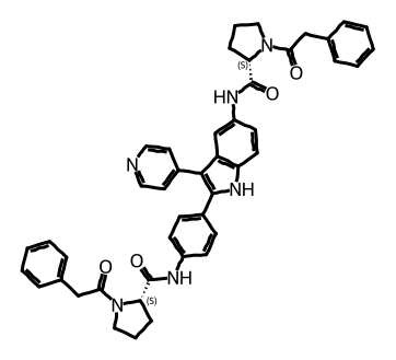 O=C(Nc1ccc(-c2[nH]c3ccc(NC(=O)[C@@H]4CCCN4C(=O)Cc4ccccc4)cc3c2-c2ccncc2)cc1)[C@@H]1CCCN1C(=O)Cc1ccccc1